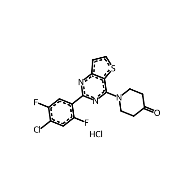 Cl.O=C1CCN(c2nc(-c3cc(F)c(Cl)cc3F)nc3ccsc23)CC1